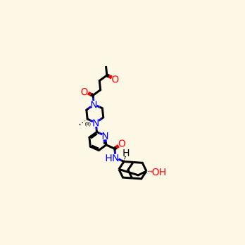 CC(=O)CCC(=O)N1CCN(c2cccc(C(=O)N[C@H]3C4CC5CC3C[C@](O)(C5)C4)n2)[C@H](C)C1